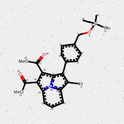 CCc1c(-c2ccc(CO[Si](C)(C)C(C)(C)C)cc2)c2c(C(=O)OC)c(C(=O)OC)c3cccc1n32